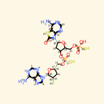 Nc1ncnc2c1ncn2[C@@H]1O[C@H](CO[P@@](=O)(S)OC2C[C@H](n3c(=O)sc4c(N)ncnc43)OC2CO[P@@](=O)(O)S)C[C@H]1F